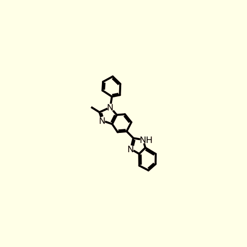 Cc1nc2cc(-c3nc4ccccc4[nH]3)ccc2n1-c1ccccc1